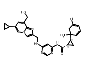 CC1([C@H]2C[C@@H]2C(=O)Nc2cc(NCc3cn4cc(C5CC5)cc(CO)c4n3)ncn2)C=CC=C(Cl)C1